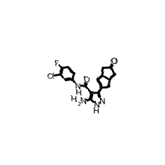 Nc1[nH]nc(C2=CC3CC(=O)CC3C2)c1C(=O)Nc1ccc(F)c(Cl)c1